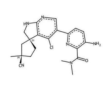 CN(C)C(=O)c1nc(-c2cnc3c(c2Cl)[C@@]2(CC[C@@](C)(C#N)C2)CN3)ccc1N